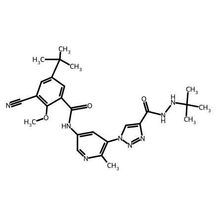 COc1c(C#N)cc(C(C)(C)C)cc1C(=O)Nc1cnc(C)c(-n2cc(C(=O)NNC(C)(C)C)nn2)c1